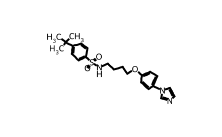 CC(C)(C)c1ccc(S(=O)(=O)NCCCCOc2ccc(-n3ccnc3)cc2)cc1